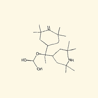 CC1(C)CC(C(C)(OC(O)O)C2CC(C)(C)NC(C)(C)C2)CC(C)(C)N1